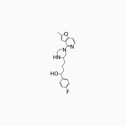 Cc1cc2c(N3CCNC(CCCC(O)c4ccc(F)cc4)C3)nccc2o1